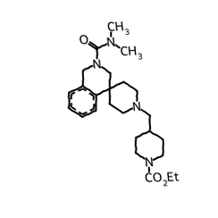 CCOC(=O)N1CCC(CN2CCC3(CC2)CN(C(=O)N(C)C)Cc2ccccc23)CC1